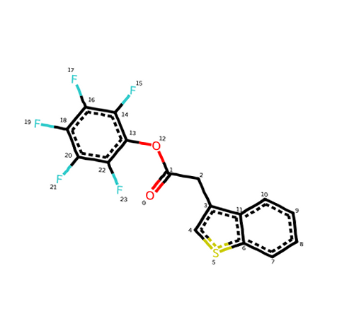 O=C(Cc1csc2ccccc12)Oc1c(F)c(F)c(F)c(F)c1F